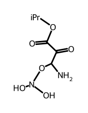 CC(C)OC(=O)C(=O)C(N)ON(O)O